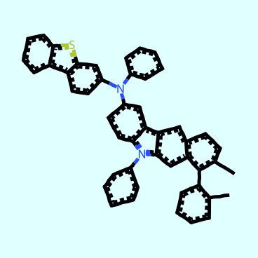 Cc1ccccc1-c1c(C)ccc2cc3c4cc(N(c5ccccc5)c5ccc6c(c5)sc5ccccc56)ccc4n(-c4ccccc4)c3cc12